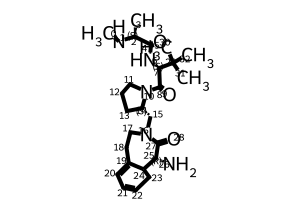 CN[C@@H](C)C(=O)N[C@H](C(=O)N1CCC[C@H]1CN1CCC2=CC=CCC2[C@@H](N)C1=O)C(C)(C)C